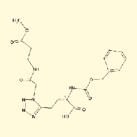 COC(=O)CCNC(=O)Cn1nnnc1CC[C@H](NC(=O)OCc1ccccc1)C(=O)O